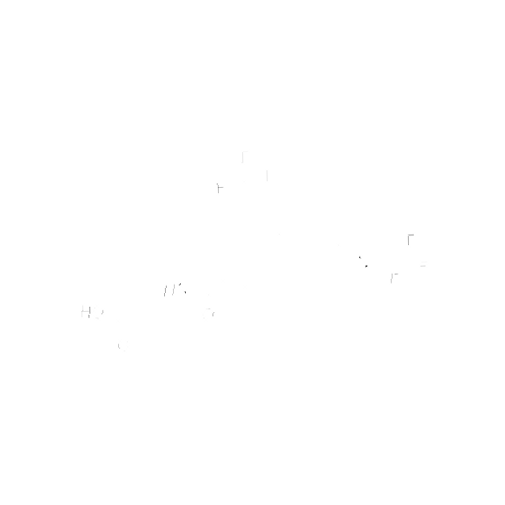 O=C(O)CCNC(=O)c1ccc(C(CCC(F)(F)F)c2ccc3nc(C(F)(F)F)ccc3c2)cc1